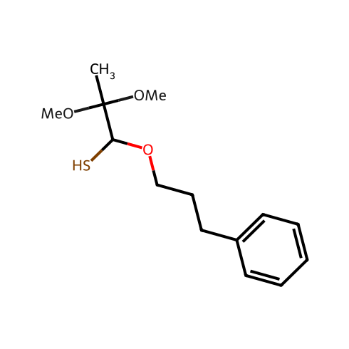 COC(C)(OC)C(S)OCCCc1ccccc1